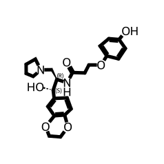 O=C(CCOc1ccc(O)cc1)N[C@H](CN1CCCC1)[C@@H](O)c1ccc2c(c1)OCCO2